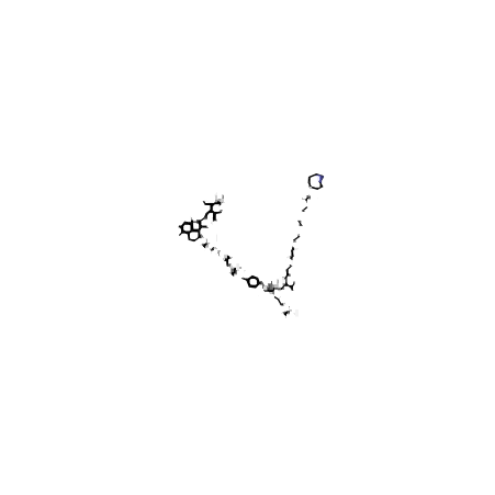 CC[C@@]1(O)C(=O)OCc2c1cc1n(c2=O)Cc2c-1nc1cc(F)c(C)c3c1c2[C@@H](NC(=O)COCNC(=O)CNC(=O)OCc1ccc(NC(=O)[C@H](CCCNC(N)=O)NC(=O)[C@@H](NC(=O)CCOCCOCCOCCOCCNC(=O)OC2CC/C=C/CCC2)C(C)C)cc1)CC3